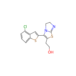 OCCC1=C(c2cc3c(Cl)cccc3s2)N2CCN=C2S1